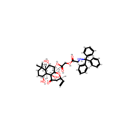 C=C[C@@]1(C)CC(=O)[C@]2(O)[C@@]3(C)[C@@H](O)CCC(C)(C)[C@@H]3[C@H](O)[C@H](OC(=O)COC(=O)CNC(c3ccccc3)(c3ccccc3)c3ccccc3)[C@@]2(C)O1